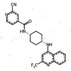 N#Cc1cc(C(=O)N[C@H]2CC[C@@H](Nc3cc(C(F)(F)F)nc4ccccc34)CC2)ccn1